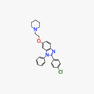 Clc1ccc(-c2nc3ccc(OCCN4CCCCC4)cc3n2-c2ccccc2)cc1